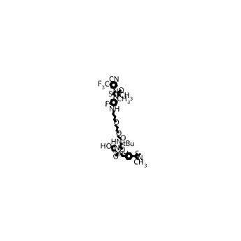 Cc1ncsc1-c1ccc(CNC(=O)[C@@H]2C[C@@H](O)CN2C(=O)C(NC(=O)COCCCOCCCCNc2ccc(N3C(=S)N(c4ccc(C#N)c(C(F)(F)F)c4)C(=O)C3(C)C)cc2F)C(C)(C)C)cc1